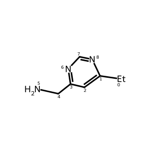 CCc1cc(CN)ncn1